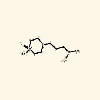 CN(C)CCCN1CC[SH](C)(=O)CC1